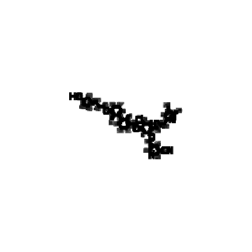 Cc1c(COc2cc(OCc3cncc(C#N)c3)c(CNCc3cc(C)n(C)n3)cc2Cl)cccc1-c1cccc(OCCCN2CCC(O)C2)c1C